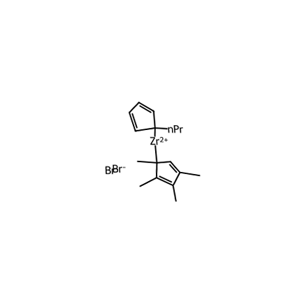 CCC[C]1([Zr+2][C]2(C)C=C(C)C(C)=C2C)C=CC=C1.[Br-].[Br-]